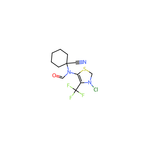 N#CC1(N(C=O)C2=C(C(F)(F)F)N(Cl)CS2)CCCCC1